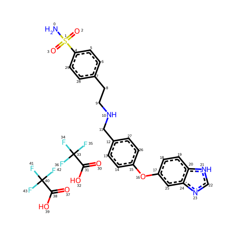 NS(=O)(=O)c1ccc(CCNCc2ccc(Oc3ccc4[nH]cnc4c3)cc2)cc1.O=C(O)C(F)(F)F.O=C(O)C(F)(F)F